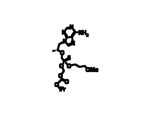 COCCCOP(=S)(CO[C@H](C)Cn1cnc2c(N)ncnc21)OCOC(=O)OC(C)C